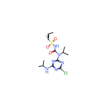 C/C=C\S(=O)(=O)NC(=O)N(c1nc(Cl)nc(NC(C)C)n1)C(C)C